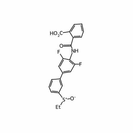 CC[S+]([O-])c1cccc(-c2cc(F)c(NC(=O)c3ccccc3C(=O)O)c(F)c2)c1